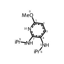 COc1ccc(NC(C)C)c(NC(C)C)n1